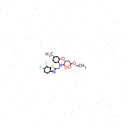 CCOC(=O)CC1Oc2cc(C)ccc2N(Cc2nc3ccc(F)c(F)c3s2)C1=O